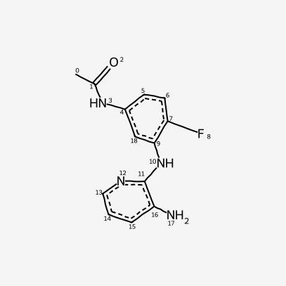 CC(=O)Nc1ccc(F)c(Nc2ncccc2N)c1